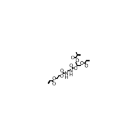 C=CC(=O)OCCOC(=O)NCNC(=O)OC(COC(=O)C=C)COC(=O)C(=C)C